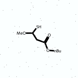 CCCCOC(=O)CC(S)OC